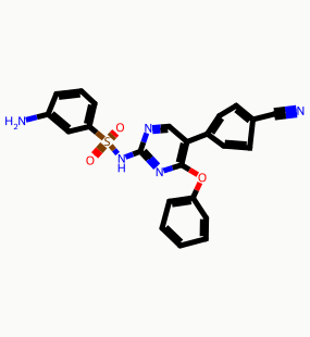 N#Cc1ccc(-c2cnc(NS(=O)(=O)c3cccc(N)c3)nc2Oc2ccccc2)cc1